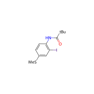 CSc1ccc(NC(=O)C(C)(C)C)c(I)c1